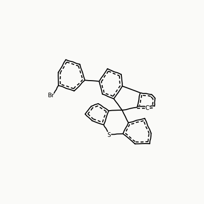 Brc1cccc(-c2ccc3c(c2)C2(c4ccccc4Sc4ccccc42)c2ccccc2-3)c1